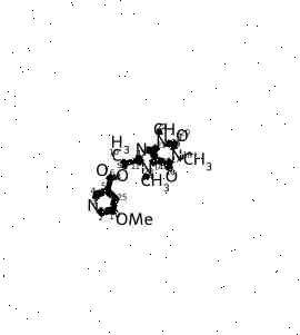 COc1cncc(C(=O)OC(C)c2nc3c(c(=O)n(C)c(=O)n3C)n2C)c1